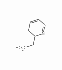 O=C(O)CC1CC=CN=N1